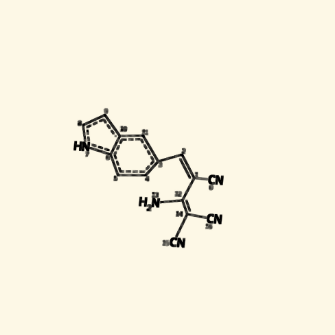 N#CC(=Cc1ccc2[nH]ccc2c1)C(N)=C(C#N)C#N